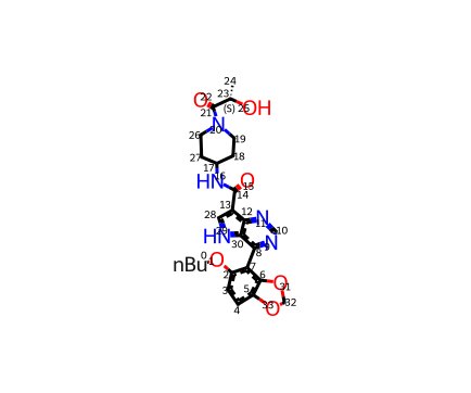 CCCCOc1ccc2c(c1-c1ncnc3c(C(=O)NC4CCN(C(=O)[C@H](C)O)CC4)c[nH]c13)OCO2